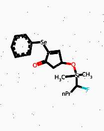 CCCC(F)[Si](C)(C)OC1C=C([Se]c2ccccc2)C(=O)C1